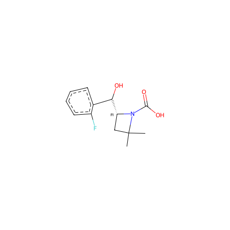 CC1(C)C[C@H](C(O)c2ccccc2F)N1C(=O)O